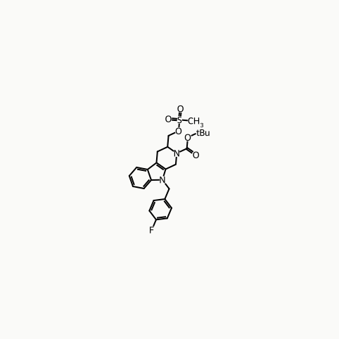 CC(C)(C)OC(=O)N1Cc2c(c3ccccc3n2Cc2ccc(F)cc2)CC1COS(C)(=O)=O